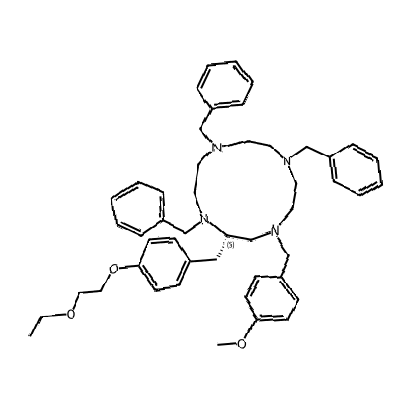 CCOCCOc1ccc(C[C@H]2CN(Cc3ccc(OC)cc3)CCN(Cc3ccccc3)CCN(Cc3ccccc3)CCN2Cc2ccccc2)cc1